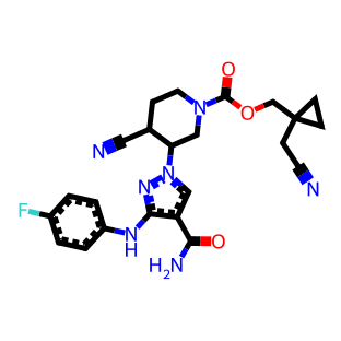 N#CCC1(COC(=O)N2CCC(C#N)C(n3cc(C(N)=O)c(Nc4ccc(F)cc4)n3)C2)CC1